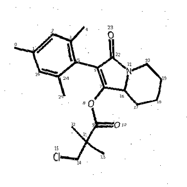 Cc1cc(C)c(C2=C(OC(=O)C(C)(C)CCl)C3CCCCN3C2=O)c(C)c1